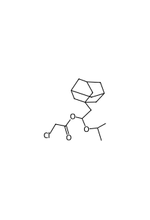 CC(C)OC(CC12CC3CC(CC(C3)C1)C2)OC(=O)CCl